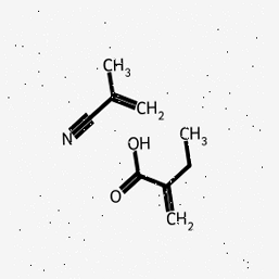 C=C(C)C#N.C=C(CC)C(=O)O